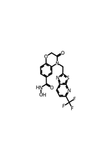 O=C(NO)c1ccc2c(c1)N(Cc1nc3ccc(C(F)(F)F)nc3s1)C(=O)CO2